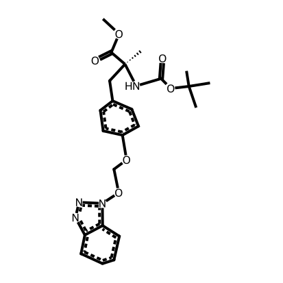 COC(=O)[C@](C)(Cc1ccc(OCOn2nnc3ccccc32)cc1)NC(=O)OC(C)(C)C